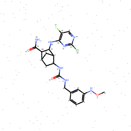 CONc1cccc(CNC(=O)NC2CC3CC2C(Nc2nc(Cl)ncc2F)C3C(N)=O)c1